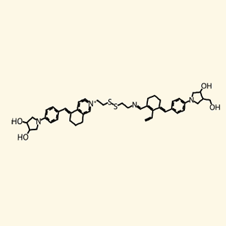 C=CC1=C(/C=N/CCSSCC[n+]2ccc3c(c2)CCC/C3=C\c2ccc(N3CC(O)C(O)C3)cc2)CCC/C1=C\c1ccc(N2CC(O)C(CO)C2)cc1